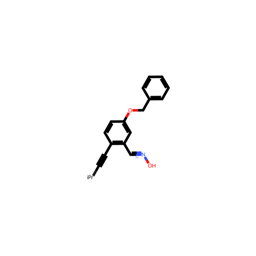 CC(C)C#Cc1ccc(OCc2ccccc2)cc1/C=N/O